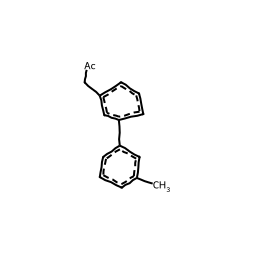 CC(=O)Cc1cccc(-c2cccc(C)c2)c1